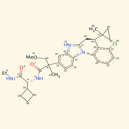 CCNC(=O)[C@H](NC(=O)C(C)(COC)c1ccc2nc(C[C@H](c3ccccc3Cl)C3(C)CC3)[nH]c2c1)C1CCC1